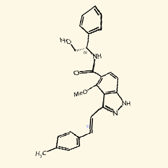 COc1c(C(=O)N[C@H](CO)c2ccccc2)ccc2[nH]nc(/C=C/c3ccc(C)cc3)c12